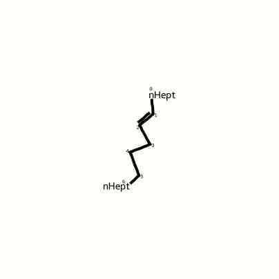 [CH2]CCCCCCC=CCCCCCCCCCC